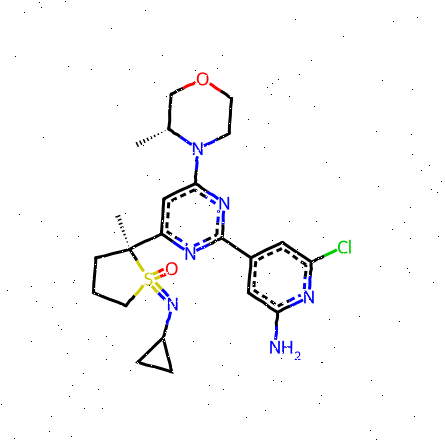 C[C@@H]1COCCN1c1cc([C@]2(C)CCCS2(=O)=NC2CC2)nc(-c2cc(N)nc(Cl)c2)n1